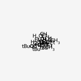 CCC(C)(C)c1cc2c(c(C(C)(C)CC)c1)OP(Oc1c(C(C)(C)C)cc(C(=O)Oc3ccc(C(C)(C)C)cc3C(C)(C)C)cc1C(C)(C)C)Oc1c(cc(C(C)(C)CC)cc1C(C)(C)CC)C2C